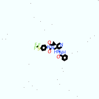 O=C(NNc1cnccc1CN1C(=O)N(c2ccc(SC(F)(F)F)cc2)C(=O)C12CC2)c1ccccc1